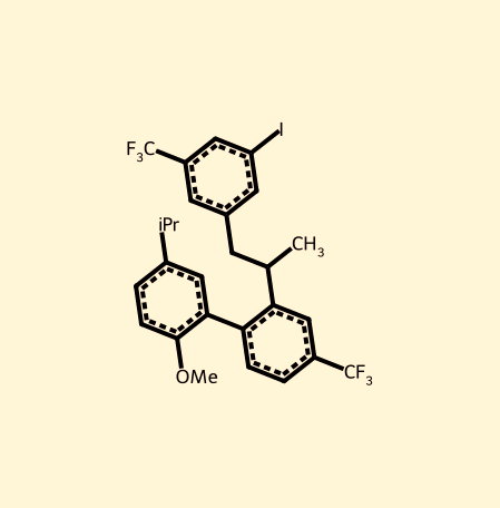 COc1ccc(C(C)C)cc1-c1ccc(C(F)(F)F)cc1C(C)Cc1cc(I)cc(C(F)(F)F)c1